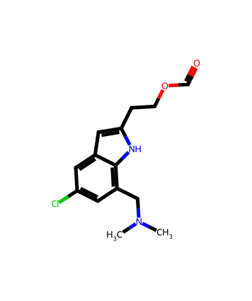 CN(C)Cc1cc(Cl)cc2cc(CCOC=O)[nH]c12